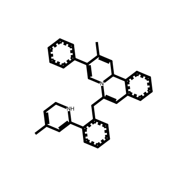 CC1=CCNC(c2ccccc2CC2=Cc3ccccc3C3C=C(C)C(c4ccccc4)=CN23)=C1